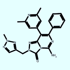 Cc1cc(-c2c(-c3ccccc3)nc(N)n3c(=O)n(Cc4cnn(C)n4)nc23)cc(C)n1